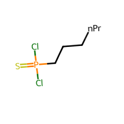 CCCCCCP(=S)(Cl)Cl